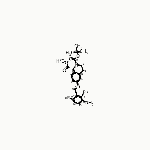 COC(=O)[C@H]1c2ccc(OCc3c(F)ccc(N)c3F)cc2CCN1C(=O)OC(C)(C)C